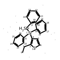 CCc1sccc1[Si]([SiH2]c1ccccc1)(c1ccccc1)c1ccccc1